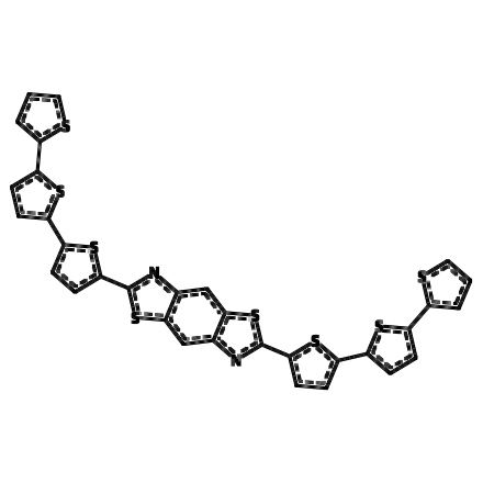 c1csc(-c2ccc(-c3ccc(-c4nc5cc6sc(-c7ccc(-c8ccc(-c9cccs9)s8)s7)nc6cc5s4)s3)s2)c1